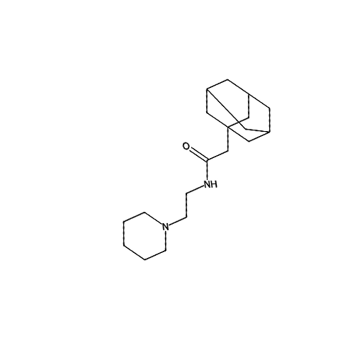 O=C(CC12CC3CC(CC(C3)C1)C2)NCCN1CCCCC1